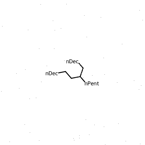 [CH2]CCCCC(CCCCCCCCCCC)CCCCCCCCCCCC